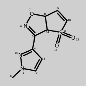 Cn1ccc(C2=NOC3C=CS(=O)(=O)C23)n1